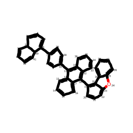 C1=CC2C=CC=C(c3ccc(-c4c5ccccc5c(-c5cccc6oc7ccccc7c56)c5ccccc45)cc3)C2C=C1